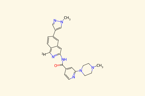 [2H]c1nc(NC(=O)c2ccnc(N3CCN(C)CC3)c2)cc2cc(-c3cnn(C)c3)ccc12